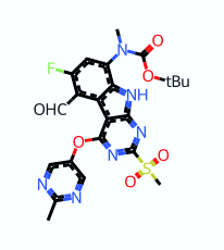 Cc1ncc(Oc2nc(S(C)(=O)=O)nc3[nH]c4c(N(C)C(=O)OC(C)(C)C)cc(F)c(C=O)c4c23)cn1